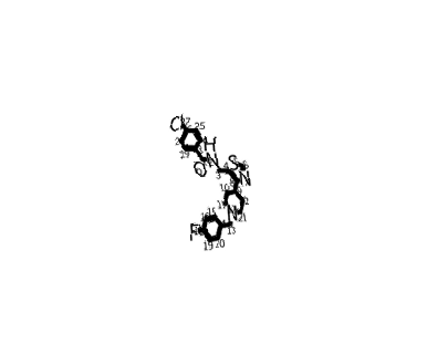 O=C(NCc1scnc1C1CCN(Cc2ccc(F)cc2)CC1)c1ccc(Cl)cc1